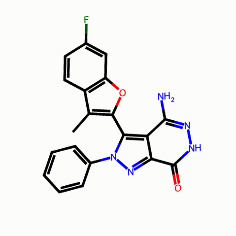 Cc1c(-c2c3c(N)n[nH]c(=O)c3nn2-c2ccccc2)oc2cc(F)ccc12